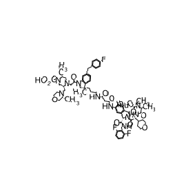 CC(C(=O)NC(C(=O)N1Cc2ccc(NC(=O)CC(=O)NCCCC3(C)CN(C(=O)CN4C[C@@H](C)N(C(=O)O)C[C@@H]4CN4CCOC[C@H]4C)c4cc(Cc5ccc(F)cc5)ccc43)cc2[C@H]1C(=O)Nc1c(F)cccc1F)C1CCOCC1)N(C)C(=O)OC(C)(C)C